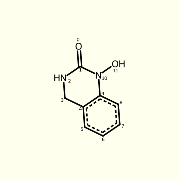 O=C1NCc2ccccc2N1O